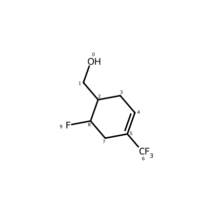 OCC1CC=C(C(F)(F)F)CC1F